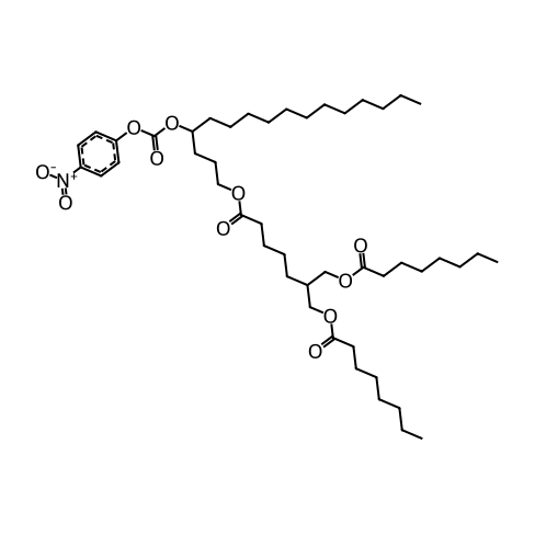 CCCCCCCCCCCCC(CCCOC(=O)CCCCC(COC(=O)CCCCCCC)COC(=O)CCCCCCC)OC(=O)Oc1ccc([N+](=O)[O-])cc1